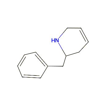 C1=CCC(Cc2ccccc2)NC1